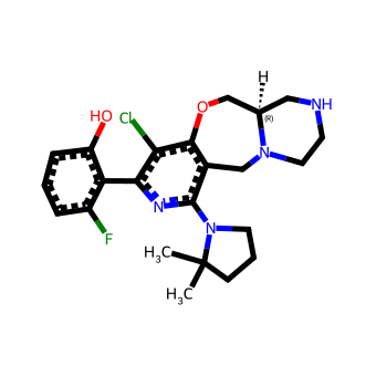 CC1(C)CCCN1c1nc(-c2c(O)cccc2F)c(Cl)c2c1CN1CCNC[C@@H]1CO2